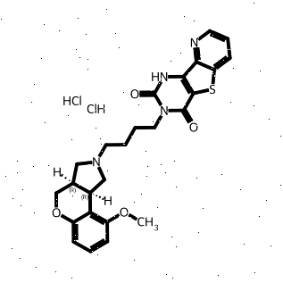 COc1cccc2c1[C@@H]1CN(CCCCn3c(=O)[nH]c4c(sc5cccnc54)c3=O)C[C@@H]1CO2.Cl.Cl